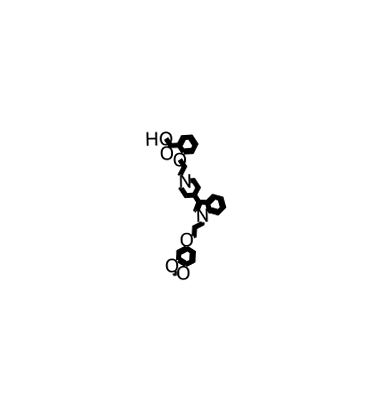 O=C(O)c1ccccc1OCCN1CCC(c2cn(CCCOc3ccc4c(c3)OCO4)c3ccccc23)CC1